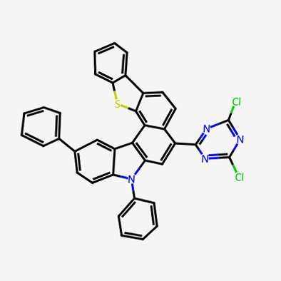 Clc1nc(Cl)nc(-c2cc3c(c4cc(-c5ccccc5)ccc4n3-c3ccccc3)c3c2ccc2c4ccccc4sc23)n1